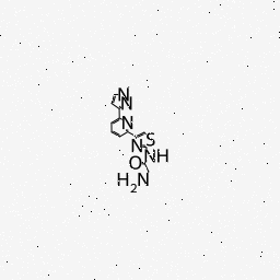 Cn1ccc(-c2cccc(-c3csc(NC(=O)CN)n3)n2)n1